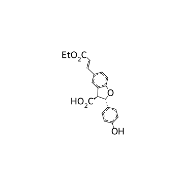 CCOC(=O)/C=C/c1ccc2c(c1)[C@H](C(=O)O)[C@@H](c1ccc(O)cc1)O2